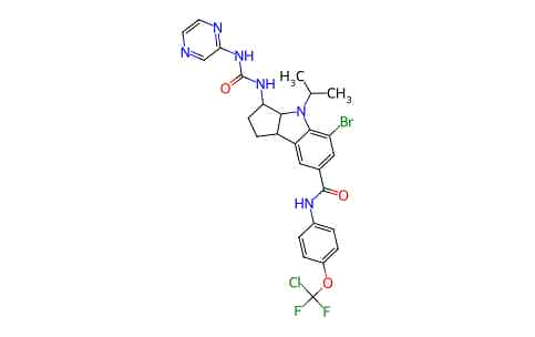 CC(C)N1c2c(Br)cc(C(=O)Nc3ccc(OC(F)(F)Cl)cc3)cc2C2CCC(NC(=O)Nc3cnccn3)C21